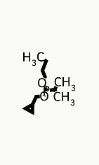 CCCCOP(OCC1CC1)C(C)C